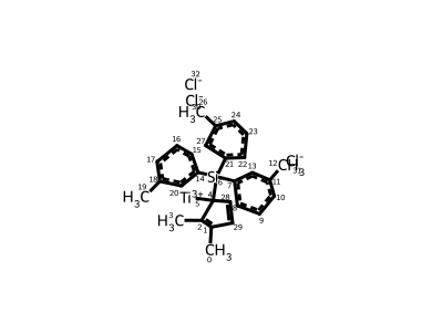 CC1=C(C)[C]([Ti+3])([Si](c2cccc(C)c2)(c2cccc(C)c2)c2cccc(C)c2)C=C1.[Cl-].[Cl-].[Cl-]